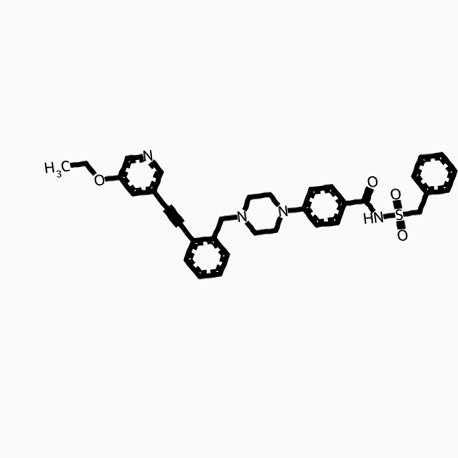 CCOc1cncc(C#Cc2ccccc2CN2CCN(c3ccc(C(=O)NS(=O)(=O)Cc4ccccc4)cc3)CC2)c1